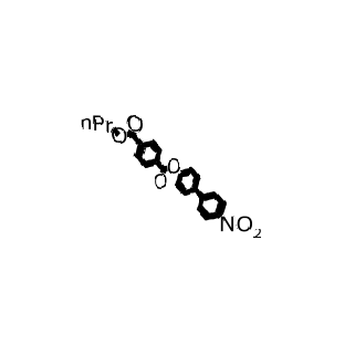 CCCOC(=O)c1ccc(C(=O)Oc2ccc(-c3ccc([N+](=O)[O-])cc3)cc2)cc1